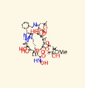 CC[C@H]1OC(=O)[C@H](C)[C@@H](O[C@H]2C[C@@](C)(OC)[C@@H](O)[C@H](C)O2)[C@H](C)[C@@H](O[C@@H]2O[C@H](C)C[C@H](N(C)Cc3ccccc3-c3cn(CCCCCCC(=O)NO)nn3)[C@H]2O)[C@](C)(O)C[C@@H](C)CN(C)[C@H](C)[C@@H](O)[C@]1(C)O